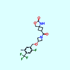 Cc1cc(COC2CN(C(=O)C3CC4(COC(=O)N4)C3)C2)c(F)cc1C(F)(F)F